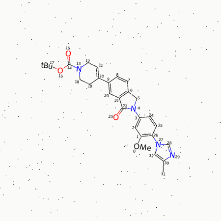 COc1cc(N2Cc3ccc(C4=CCN(C(=O)OC(C)(C)C)CC4)cc3C2=O)ccc1-n1cnc(C)c1